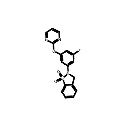 O=S1(=O)c2ccccc2CN1c1cc(F)cc(Oc2ncccn2)c1